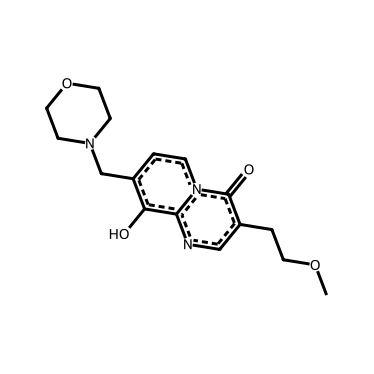 COCCc1cnc2c(O)c(CN3CCOCC3)ccn2c1=O